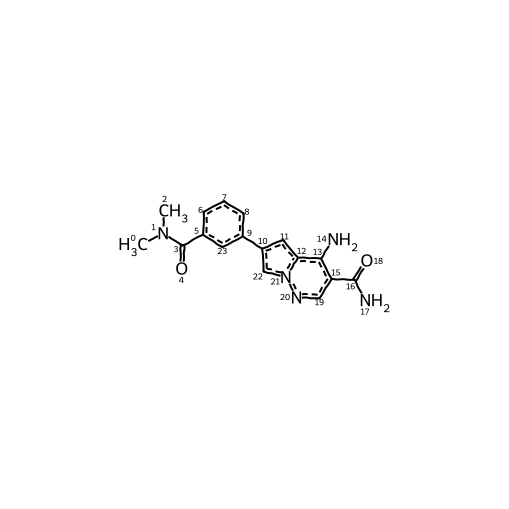 CN(C)C(=O)c1cccc(-c2cc3c(N)c(C(N)=O)cnn3c2)c1